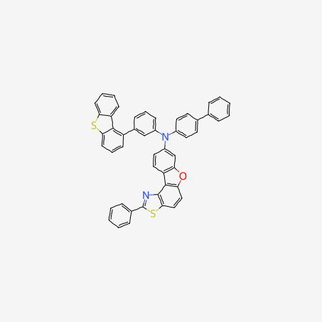 c1ccc(-c2ccc(N(c3cccc(-c4cccc5sc6ccccc6c45)c3)c3ccc4c(c3)oc3ccc5sc(-c6ccccc6)nc5c34)cc2)cc1